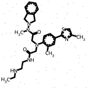 CCNCCNC(=O)CN(CC(=O)N(C)N1Cc2ccccc2C1)c1ccc(-c2nc(C)cs2)cc1C